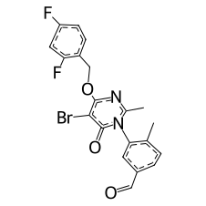 Cc1ccc(C=O)cc1-n1c(C)nc(OCc2ccc(F)cc2F)c(Br)c1=O